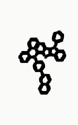 c1ccc(-c2ccccc2N(c2ccc(-c3ccc4ccccc4c3)cc2)c2cccc3c2sc2c4ccccc4n(-c4ccccc4)c32)cc1